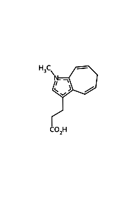 Cn1cc(CCC(=O)O)c2c1C=CCC=C2